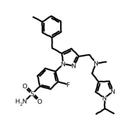 Cc1cccc(Cc2cc(CN(C)Cc3cnn(C(C)C)c3)nn2-c2ccc(S(N)(=O)=O)cc2F)c1